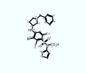 O=C(O)N(c1ccsn1)S(=O)(=O)c1c(F)cc(N[C@H]2CCN(Cc3ccccc3)C2)c(Br)c1F